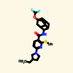 CCCSc1nc(N2CCC(CC(=O)O)C2)ccc1C(=O)NC1C2CC3CC1CC(OC(F)F)(C3)C2